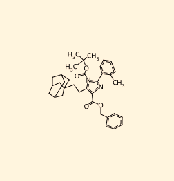 Cc1ccccc1-c1nc(C(=O)OCc2ccccc2)c(CCC23CC4CC(CC(C4)C2)C3)n1C(=O)OC(C)(C)C